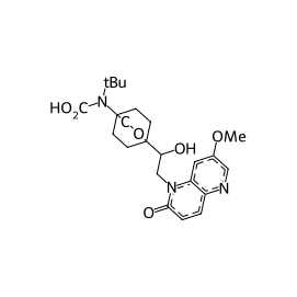 COc1cnc2ccc(=O)n(CC(O)C34CCC(N(C(=O)O)C(C)(C)C)(CC3)CO4)c2c1